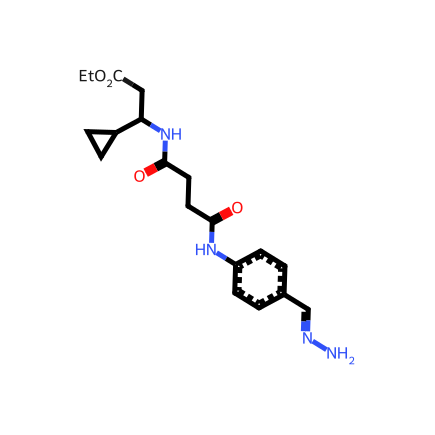 CCOC(=O)CC(NC(=O)CCC(=O)Nc1ccc(C=NN)cc1)C1CC1